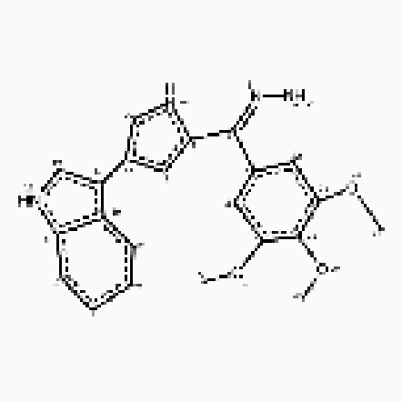 COc1cc(C(=NN)c2cc(-c3c[nH]c4ccccc34)c[nH]2)cc(OC)c1OC